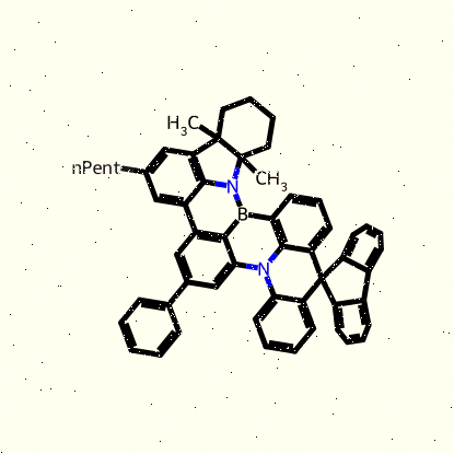 CCCCCc1cc2c3c(c1)C1(C)CCCCC1(C)N3B1c3cccc4c3N(c3ccccc3C43c4ccccc4-c4ccccc43)c3cc(-c4ccccc4)cc-2c31